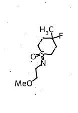 COCCN=S1(=O)CCC(C)(F)CC1